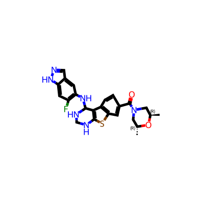 C[C@@H]1CN(C(=O)c2ccc3c4c(sc3c2)NCNC4Nc2cc3cn[nH]c3cc2F)C[C@@H](C)O1